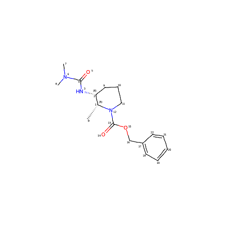 C[C@@H]1[C@H](NC(=O)N(C)C)CCCN1C(=O)OCc1ccccc1